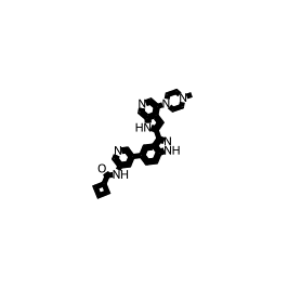 CN1CCN(c2cncc3[nH]c(-c4n[nH]c5ccc(-c6cncc(NC(=O)C7CCC7)c6)cc45)cc23)CC1